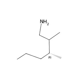 CCC[C@@H](C)C(C)CN